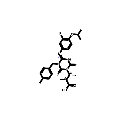 Cc1ccc(Cn2c(=O)n([C@H](C)[C@H](C)C(=O)O)c(=O)[nH]/c2=N\c2ccc(OC(C)C)c(F)c2)cc1